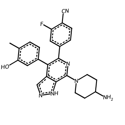 Cc1ccc(-c2c(-c3ccc(C#N)c(F)c3)nc(N3CCC(N)CC3)c3[nH]ncc23)cc1O